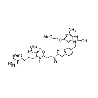 CCCCCN1NNC=C1CCCCC(NC(=O)CCC(=O)NCc1ccc(Cn2c(O)nc3c(N)nc(OCCOC)nc32)cc1)C(=O)NCCCC